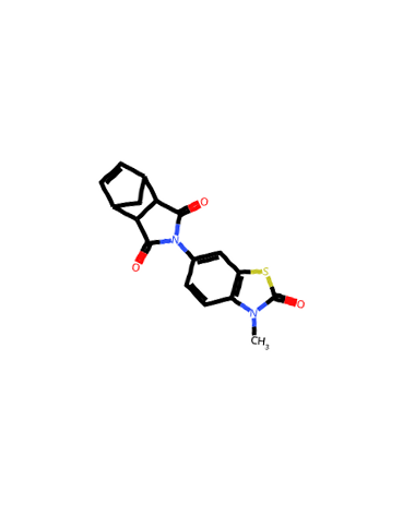 Cn1c(=O)sc2cc(N3C(=O)C4C5C=CC(C5)C4C3=O)ccc21